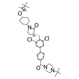 CC(C)(C)N1CCN(C(=O)c2ccc(-c3cc(Cl)c(C[C@@H]4CCN([C@H]5CC[C@@H](O[Si](C)(C)C(C)(C)C)CC5)C4=O)c(Cl)c3)cc2)CC1